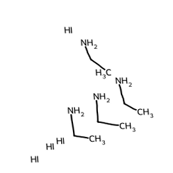 CCN.CCN.CCN.CCN.I.I.I.I